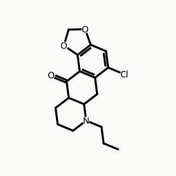 CCCN1CCCC2C(=O)c3c(c(Cl)cc4c3OCO4)CC21